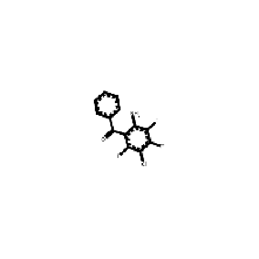 Nc1c(F)c(F)c(Cl)c(F)c1C(=O)c1ccccc1